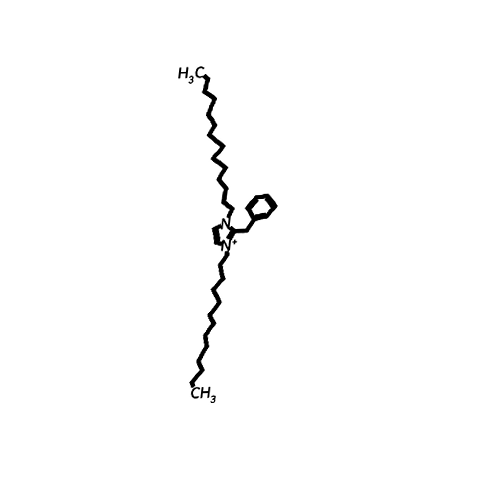 CCCCCCCCCCCCCCn1cc[n+](CCCCCCCCCCCCC)c1Cc1ccccc1